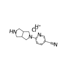 N#Cc1ccc(N2CC3CNCC3C2)nc1.[Cl-].[H+]